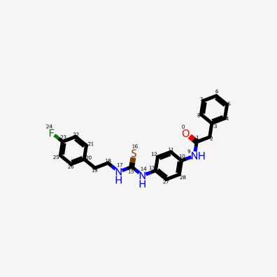 O=C(Cc1ccccc1)Nc1ccc(NC(=S)NCCc2ccc(F)cc2)cc1